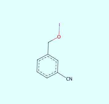 N#Cc1cccc(COI)c1